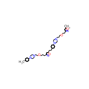 Cc1ccc(N2CCN(CCOCCCc3cc(CCc4ccc(N5CCN(CCCOCCc6cc(C)on6)CC5)cc4)on3)CC2)cc1